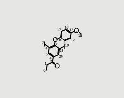 CCC(=O)c1cc(I)c(Oc2ccc(OC)cc2)c(I)c1